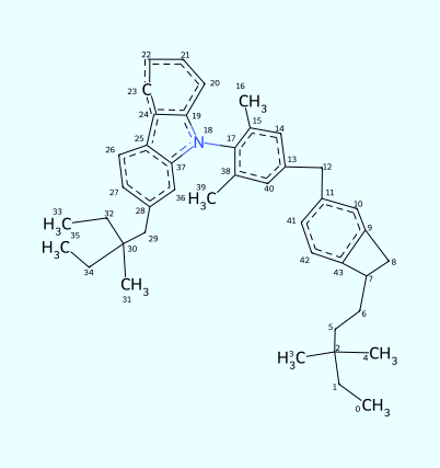 CCC(C)(C)CCC1Cc2cc(Cc3cc(C)c(-n4c5ccccc5c5ccc(CC(C)(CC)CC)cc54)c(C)c3)ccc21